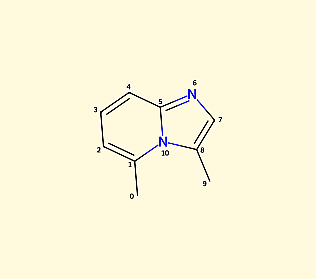 Cc1cccc2ncc(C)n12